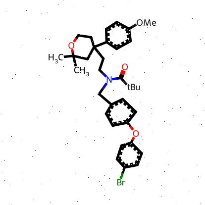 COc1ccc(C2(CCN(Cc3ccc(Oc4ccc(Br)cc4)cc3)C(=O)C(C)(C)C)CCOC(C)(C)C2)cc1